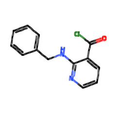 O=C(Cl)c1cccnc1NCc1ccccc1